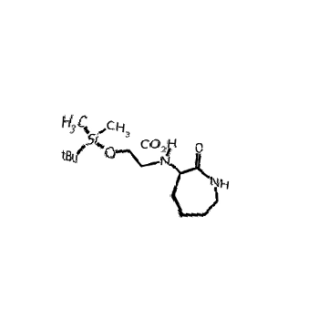 CC(C)(C)[Si](C)(C)OCCN(C(=O)O)C1CCCCNC1=O